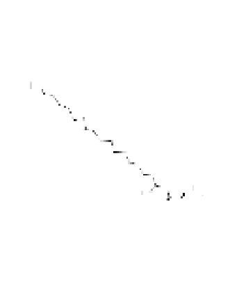 C=CC(=O)OC(Cl)CCCCCCCCCCCCCCCCC